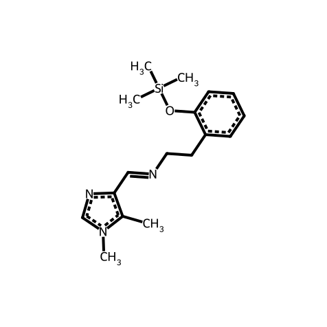 Cc1c(C=NCCc2ccccc2O[Si](C)(C)C)ncn1C